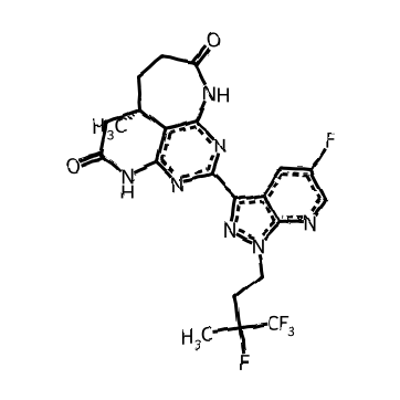 CC(F)(CCn1nc(-c2nc3c4c(n2)NC(=O)C[C@@]4(C)CCC(=O)N3)c2cc(F)cnc21)C(F)(F)F